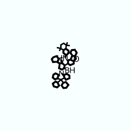 CC1(C)CCC(C)(C)c2cc(Nc3c(-c4c5c(cc6c4sc4ccccc46)N4c6ccccc6C(c6ccccc6)(c6ccccc6)c6cccc(c64)B5)ccc4oc5ccccc5c34)ccc21